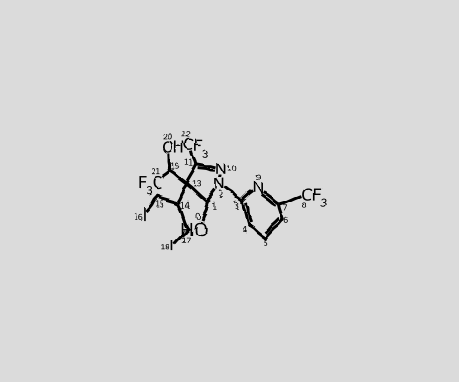 OC1N(c2cccc(C(F)(F)F)n2)N=C(C(F)(F)F)C1(C(CI)CI)C(O)C(F)(F)F